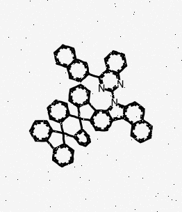 c1ccc2c(c1)-c1ccccc1C21c2ccccc2C2(c3ccccc3-c3c2ccc2c4c5ccccc5ccc4n(-c4nc(-c5ccc6ccccc6c5)c5ccccc5n4)c32)c2ccccc21